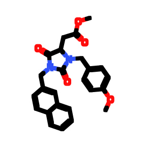 COC(=O)CC1C(=O)N(Cc2ccc3ccccc3c2)C(=O)N1Cc1ccc(OC)cc1